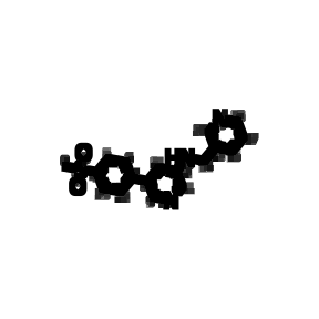 CS(=O)(=O)c1ccc(-c2cncc(NCc3cccnc3)c2)cc1